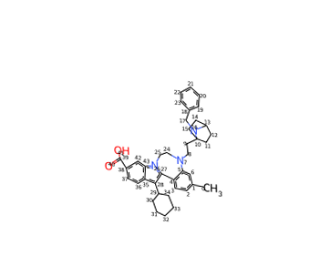 Cc1ccc2c(c1)N(CCC13CCC(CC1)N3Cc1ccccc1)CCn1c-2c(C2CCCCC2)c2ccc(C(=O)O)cc21